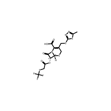 Cc1nnc(SCC2=C(C(=O)O)N3C(=O)[C@@H](OC(=O)CSC(F)(F)F)[C@H]3SC2)s1